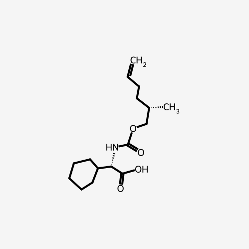 C=CCC[C@H](C)COC(=O)N[C@H](C(=O)O)C1CCCCC1